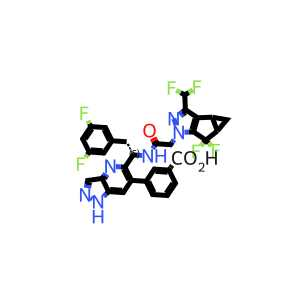 O=C(Cn1nc(C(F)F)c2c1C(F)(F)C1CC21)N[C@@H](Cc1cc(F)cc(F)c1)c1nc2cn[nH]c2cc1-c1cccc(C(=O)O)c1